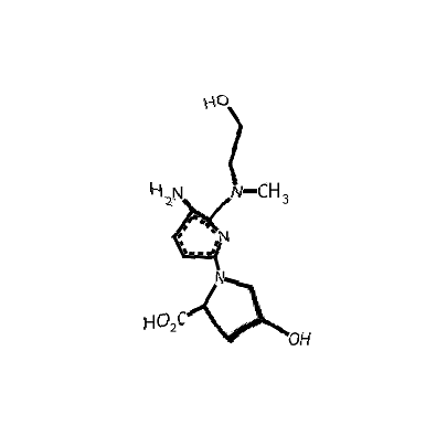 CN(CCO)c1nc(N2CC(O)CC2C(=O)O)ccc1N